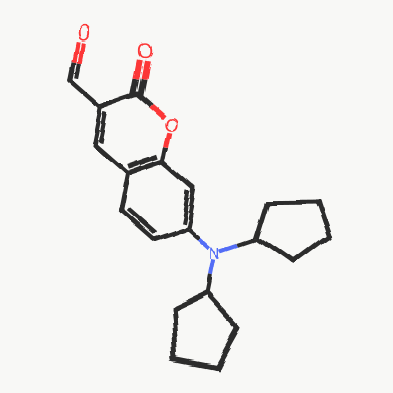 O=Cc1cc2ccc(N(C3CCCC3)C3CCCC3)cc2oc1=O